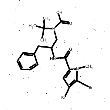 Cn1c(C(=O)NC(Cc2ccccc2)CN(C(=O)O)C(C)(C)C)cc(Br)c1Br